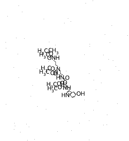 CC(C)(C)OC(=O)NCCCCN(CCCNC(=O)OC[C@H](Cc1c[nH]c2ccc(O)cc12)NC(=O)OC(C)(C)C)C(=O)OC(C)(C)C